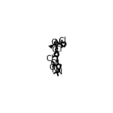 COC(=O)c1c(C#Cc2ccc(OCc3c(-c4c(Cl)cccc4Cl)noc3C3CC3)cc2Cl)ccc2nc(C)c(C)nc12